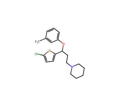 FC(F)(F)c1cccc(OC(CCN2CCCCC2)c2ccc(Cl)s2)c1